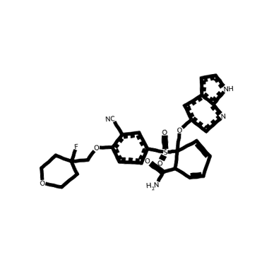 N#Cc1cc(S(=O)(=O)C2(Oc3cnc4[nH]ccc4c3)C=CC=CC2C(N)=O)ccc1OCC1(F)CCOCC1